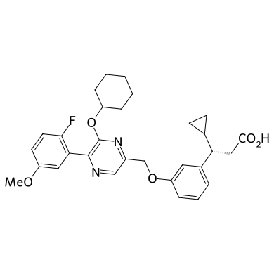 COc1ccc(F)c(-c2ncc(COc3cccc([C@@H](CC(=O)O)C4CC4)c3)nc2OC2CCCCC2)c1